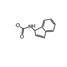 [O]C(=O)NC1C=Cc2ccccc21